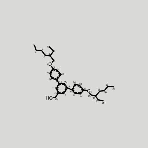 CCCCC(CC)COc1ccc(-c2cc(CO)cc(-c3ccc(OCC(CC)CCCC)cc3)c2)cc1